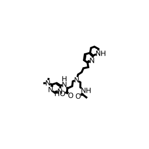 CC(=O)NCCN(CCCCc1ccc2c(n1)NCCC2)CCC(Nc1cc(N(C)C)ncn1)C(=O)O